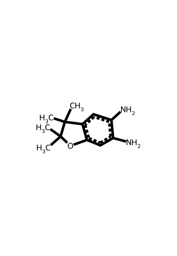 CC1(C)Oc2cc(N)c(N)cc2C1(C)C